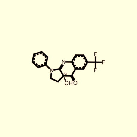 O=C1c2cc(C(F)(F)F)ccc2N=C2N(c3ccccc3)CC[C@@]12O